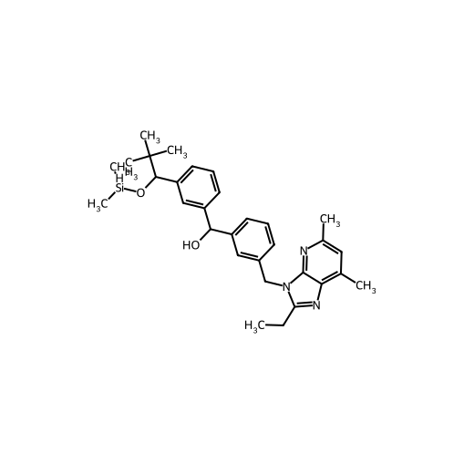 CCc1nc2c(C)cc(C)nc2n1Cc1cccc(C(O)c2cccc(C(O[SiH](C)C)C(C)(C)C)c2)c1